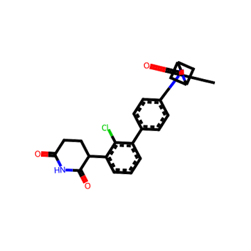 O=C1CCC(c2cccc(-c3ccc(N4C(=O)C5CC4C5)cc3)c2Cl)C(=O)N1